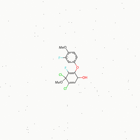 COc1ccc(OC2=C(F)C(Cl)(OC)C(Cl)=CC2O)cc1F